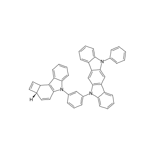 C1=C[C@@H]2C=CC2c2c1n(-c1cccc(-n3c4ccccc4c4cc5c(cc43)c3ccccc3n5-c3ccccc3)c1)c1ccccc21